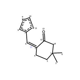 CC1(C)CC/C(=C/c2cncs2)C(=O)C1